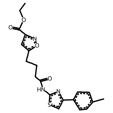 CCOC(=O)c1cc(CCCC(=O)Nc2nc(-c3ccc(C)cc3)cs2)on1